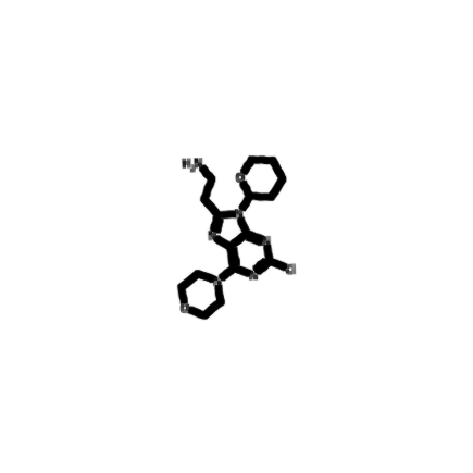 NCCc1nc2c(N3CCOCC3)nc(Cl)nc2n1C1CCCCO1